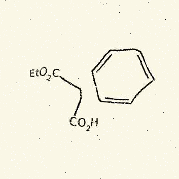 CCOC(=O)CC(=O)O.c1ccccc1